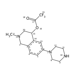 CN1Cc2ccc(N3CCNCC3)cc2C(OC(=O)C(F)(F)F)C1